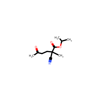 CC(=O)CCC(C)(C#N)C(=O)OC(C)C